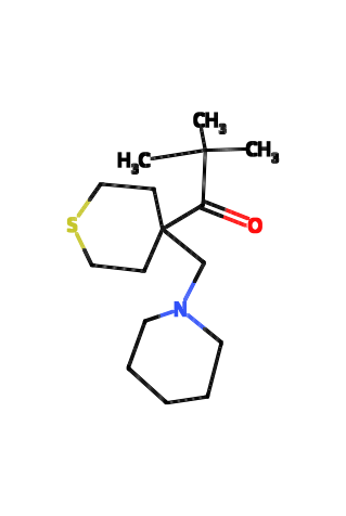 CC(C)(C)C(=O)C1(CN2CCCCC2)CCSCC1